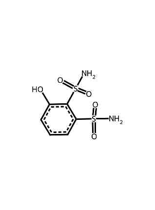 NS(=O)(=O)c1cccc(O)c1S(N)(=O)=O